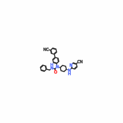 N#Cc1ccc(N[C@H]2CC[C@H](N(C(=O)NCc3ccccc3)c3ccc(-c4cccc(C#N)c4)cc3)CC2)nc1